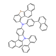 c1ccc(-c2ccccc2-n2c3cc(N(c4ccc(-c5cccc6ccccc56)cc4)c4cccc5sc6c7ccccc7ccc6c45)ccc3c3c4ccccc4ccc32)cc1